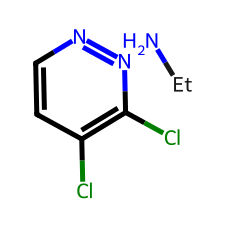 CCN.Clc1ccnnc1Cl